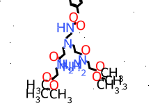 CC(C)(C)OC(=O)CCN(N)C(=O)CCN(CCNC(=O)OCc1ccccc1)CCC(=O)N(N)CCC(=O)OC(C)(C)C